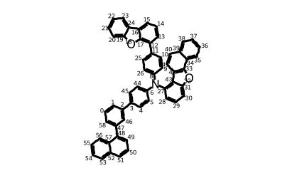 c1cc(-c2ccc(N(c3ccc(-c4cccc5c4oc4ccccc45)cc3)c3cccc4oc5c6ccccc6ccc5c34)cc2)cc(-c2cccc3ccccc23)c1